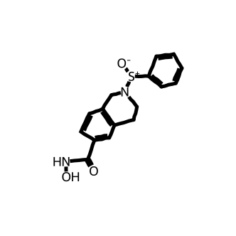 O=C(NO)c1ccc2c(c1)CCN([S+]([O-])c1ccccc1)C2